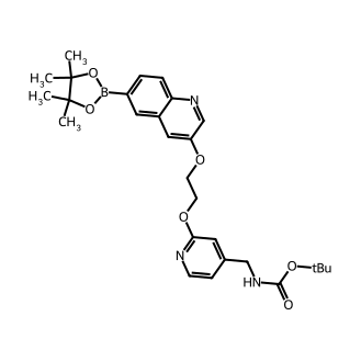 CC(C)(C)OC(=O)NCc1ccnc(OCCOc2cnc3ccc(B4OC(C)(C)C(C)(C)O4)cc3c2)c1